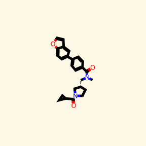 CN(C[C@@H]1CCN(C(=O)C2CC2)C1)C(=O)c1ccc(-c2ccc3occc3c2)cc1